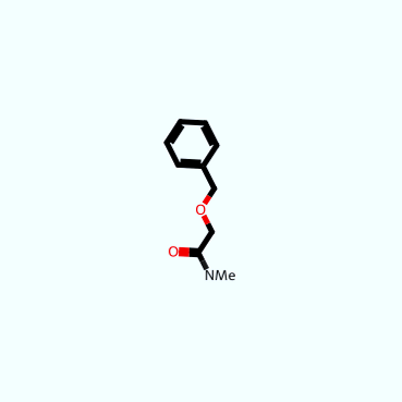 [CH2]NC(=O)COCc1ccccc1